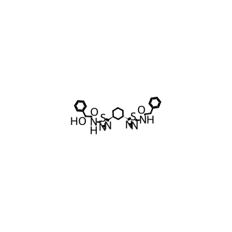 O=C(Cc1ccccc1)Nc1nnc([C@H]2CCC[C@H](c3nnc(NC(=O)[C@@H](O)c4ccccc4)s3)C2)s1